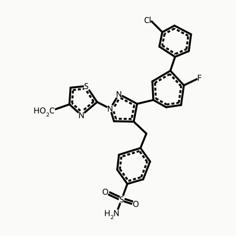 NS(=O)(=O)c1ccc(Cc2cn(-c3nc(C(=O)O)cs3)nc2-c2ccc(F)c(-c3cccc(Cl)c3)c2)cc1